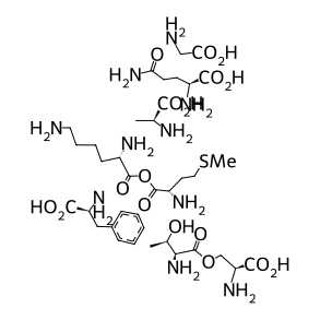 CSCC[C@H](N)C(=O)OC(=O)[C@@H](N)CCCCN.C[C@@H](O)[C@H](N)C(=O)OC[C@H](N)C(=O)O.C[C@H](N)C(=O)O.NC(=O)CC[C@H](N)C(=O)O.NCC(=O)O.N[C@@H](Cc1ccccc1)C(=O)O